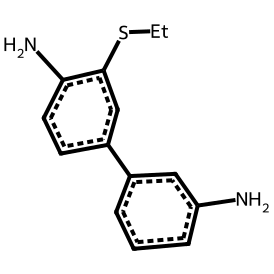 CCSc1cc(-c2cccc(N)c2)ccc1N